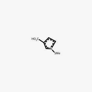 CSn1ccc(C(=O)O)c1